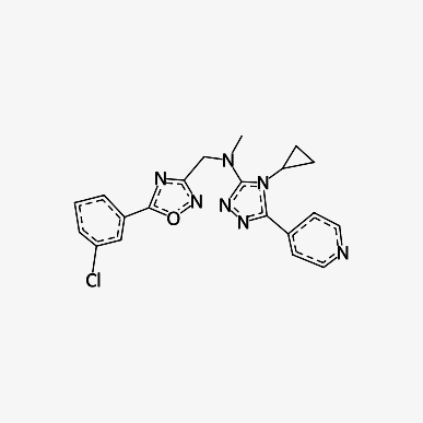 CN(Cc1noc(-c2cccc(Cl)c2)n1)c1nnc(-c2ccncc2)n1C1CC1